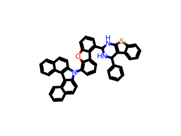 c1ccc(C2NC(c3cccc4oc5c(-n6c7ccc8ccccc8c7c7c8ccccc8ccc76)cccc5c34)Nc3sc4ccccc4c32)cc1